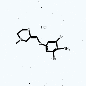 CN1CCOC(=COc2cc(Br)c(N)c(Br)c2)C1.Cl